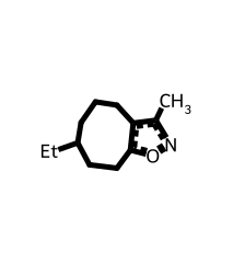 CCC1CCCc2c(C)noc2CC1